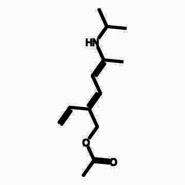 C=C/C(=C\C=C(/C)NC(C)C)COC(C)=O